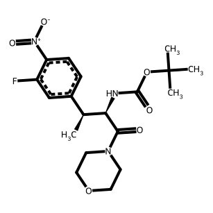 C[C@@H](c1ccc([N+](=O)[O-])c(F)c1)[C@@H](NC(=O)OC(C)(C)C)C(=O)N1CCOCC1